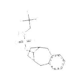 O=S(=O)(NCC(F)(F)F)NC1C2CCC1Cc1ccccc1C2